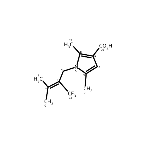 CC(C)=C(Cn1c(C)cc(C(=O)O)c1C)C(F)(F)F